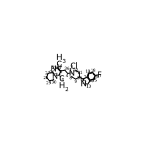 C=C1C(CC[N+]2(CCl)CCC(C3=NCc4cc(F)ccc43)CC2)=C(C)N=C2CCCCN12